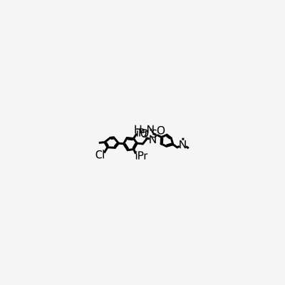 Cc1ccc(-c2cc(C(C)C)c(CC(=O)N=S(N)(=O)c3ccc(CN(C)C)cc3)c(C(C)C)c2)cc1Cl